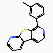 Cc1cccc(-c2nccc3c2sc2ncccc23)c1